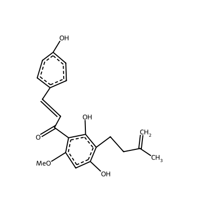 C=C(C)CCc1c(O)cc(OC)c(C(=O)/C=C/c2ccc(O)cc2)c1O